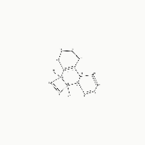 CC12C=CC1(C)N1C=CC=CC1C1=C2CCCC1